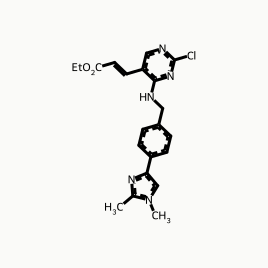 CCOC(=O)/C=C/c1cnc(Cl)nc1NCc1ccc(-c2cn(C)c(C)n2)cc1